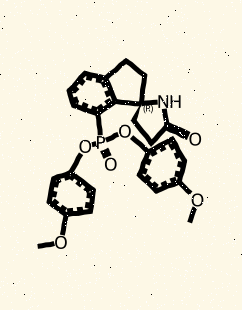 COc1ccc(OP(=O)(Oc2ccc(OC)cc2)c2cccc3c2[C@]2(CCC(=O)N2)CC3)cc1